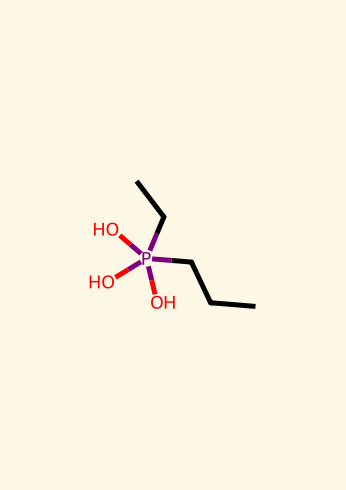 CCCP(O)(O)(O)CC